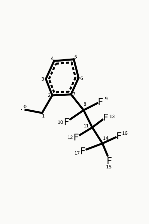 [CH2]Cc1ccccc1C(F)(F)C(F)(F)C(F)(F)F